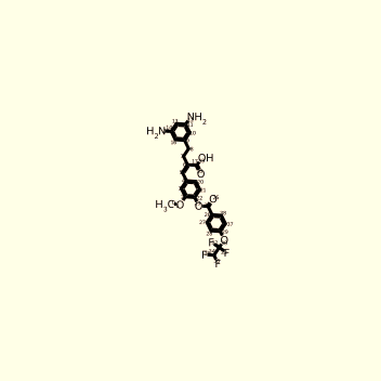 COc1cc(C=C(CCc2cc(N)cc(N)c2)C(=O)O)ccc1OC(=O)c1ccc(OC(F)(F)C(F)F)cc1